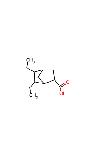 CCC1C2CC(C(=O)O)C(C2)C1CC